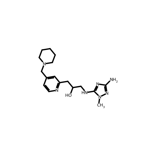 Cn1nc(N)nc1NCC(O)Cc1cc(CN2CCCCC2)ccn1